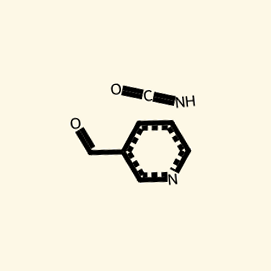 N=C=O.O=Cc1cccnc1